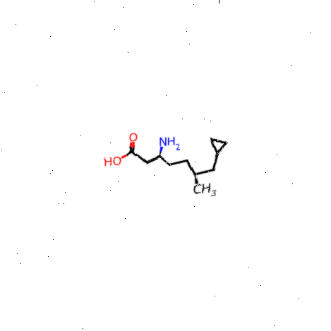 C[C@@H](CC[C@H](N)CC(=O)O)CC1CC1